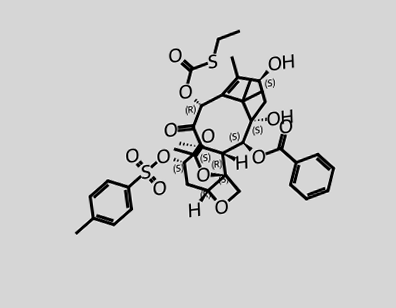 CCSC(=O)O[C@H]1C(=O)[C@]2(C)[C@@H](OS(=O)(=O)c3ccc(C)cc3)C[C@H]3OC[C@@]3(OC(C)=O)[C@H]2[C@H](OC(=O)c2ccccc2)[C@]2(O)C[C@H](O)C(C)=C1C2(C)C